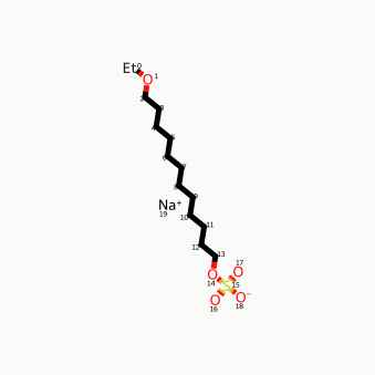 CCOCCCCCCCCCCCCOS(=O)(=O)[O-].[Na+]